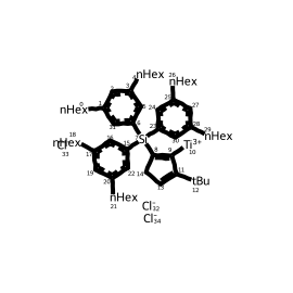 CCCCCCc1cc(CCCCCC)cc([Si](C2=[C]([Ti+3])C(C(C)(C)C)=CC2)(c2cc(CCCCCC)cc(CCCCCC)c2)c2cc(CCCCCC)cc(CCCCCC)c2)c1.[Cl-].[Cl-].[Cl-]